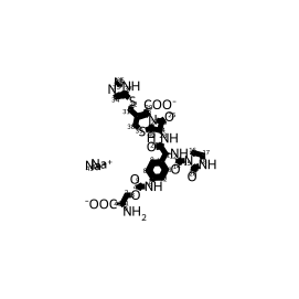 N[C@H](COC(=O)Nc1ccc([C@@H](NC(=O)N2CCNC2=O)C(=O)N[C@@H]2C(=O)N3C(C(=O)[O-])=C(CSc4cnn[nH]4)CS[C@@H]23)cc1)C(=O)[O-].[Na+].[Na+]